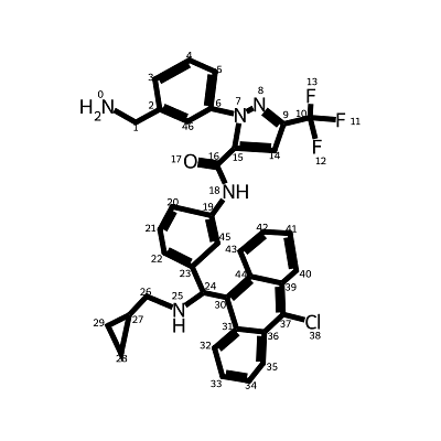 NCc1cccc(-n2nc(C(F)(F)F)cc2C(=O)Nc2cccc(C(NCC3CC3)c3c4ccccc4c(Cl)c4ccccc34)c2)c1